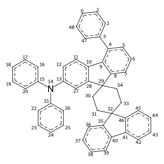 c1ccc(-c2cccc3c2-c2ccc(N(c4ccccc4)c4ccccc4)cc2C32CCC3(CC2)c2ccccc2-c2ccccc23)cc1